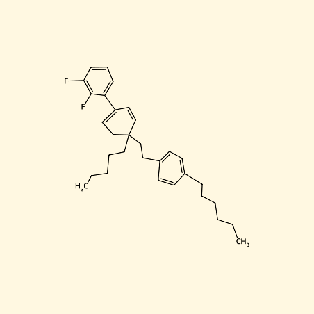 CCCCCCc1ccc(CCC2(CCCCC)C=CC(c3cccc(F)c3F)=CC2)cc1